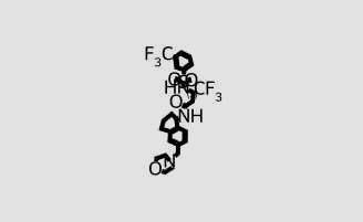 O=C(C[C@H](NS(=O)(=O)c1cccc(C(F)(F)F)c1)C(F)(F)F)NC1CCCc2cc(CN3CCOCC3)ccc21